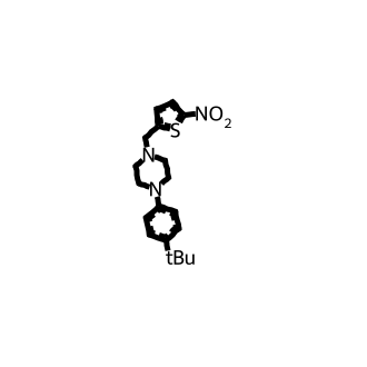 CC(C)(C)c1ccc(N2CCN(Cc3ccc([N+](=O)[O-])s3)CC2)cc1